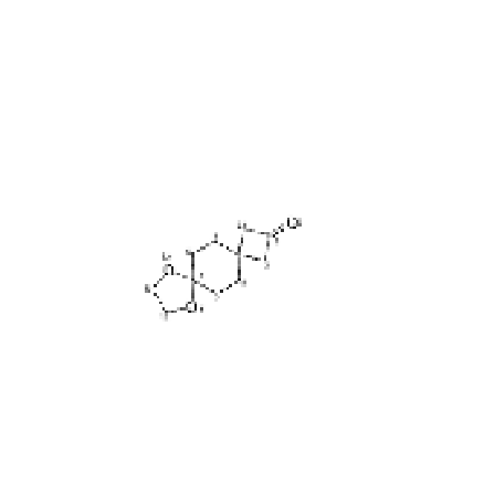 O=C1CC2(CCC3(CC2)OCCO3)C1